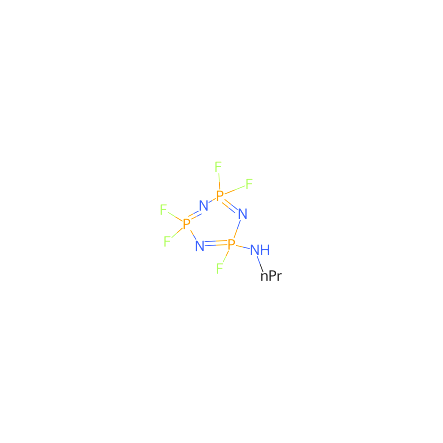 CCCNP1(F)=NP(F)(F)=NP(F)(F)=N1